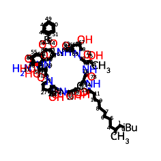 CCC(C)CC(C)CCCCCCCCC(=O)N[C@H]1C[C@@H](O)[C@@H](O)NC(=O)[C@@H]2[C@@H](O)CCN2C(=O)[C@H]([C@H](O)CC(N)=O)NC(=O)[C@H]([C@@H]2OB(c3ccccc3)O[C@@H]2c2ccc(O)cc2)NC(=O)[C@@H]2C[C@@H](O)CN2C(=O)[C@H]([C@@H](C)O)NC1=O